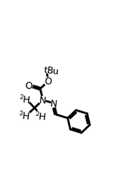 [2H]C([2H])([2H])N(N=Cc1ccccc1)C(=O)OC(C)(C)C